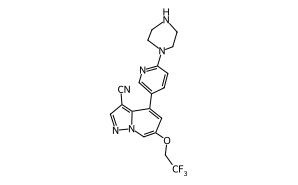 N#Cc1cnn2cc(OCC(F)(F)F)cc(-c3ccc(N4CCNCC4)nc3)c12